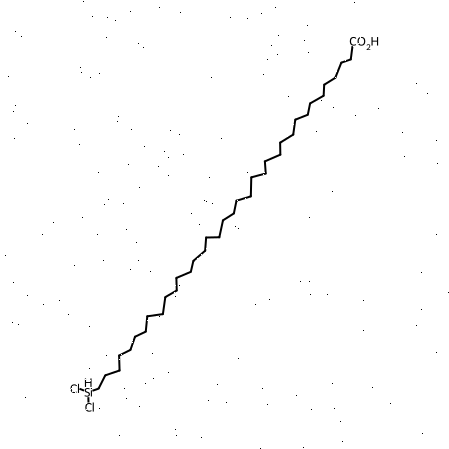 O=C(O)CCCCCCCCCCCCCCCCCCCCCCCCCCCCCCCCCCC[SiH](Cl)Cl